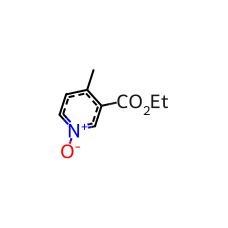 CCOC(=O)c1c[n+]([O-])ccc1C